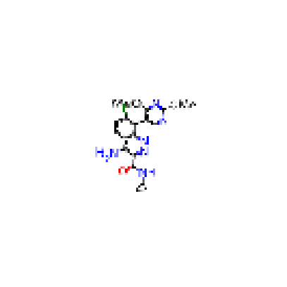 COc1ncc(-c2c(F)ccc3c(N)c(C(=O)NC4CC4)nnc23)c(OC)n1